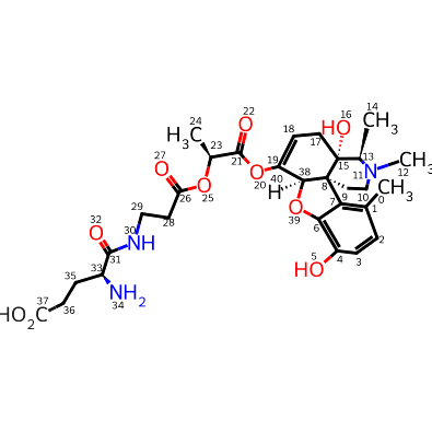 Cc1ccc(O)c2c1[C@]13CCN(C)[C@H](C)[C@]1(O)CC=C(OC(=O)[C@H](C)OC(=O)CCNC(=O)[C@@H](N)CCC(=O)O)[C@@H]3O2